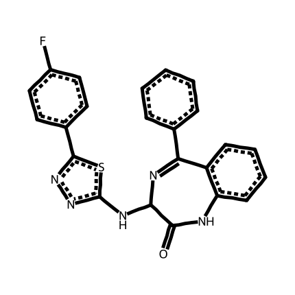 O=C1Nc2ccccc2C(c2ccccc2)=NC1Nc1nnc(-c2ccc(F)cc2)s1